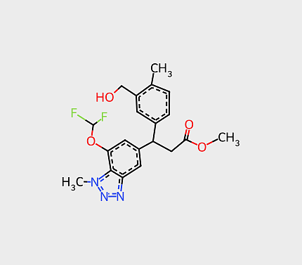 COC(=O)CC(c1ccc(C)c(CO)c1)c1cc(OC(F)F)c2c(c1)nnn2C